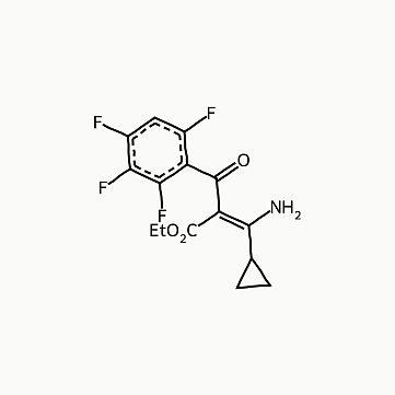 CCOC(=O)C(C(=O)c1c(F)cc(F)c(F)c1F)=C(N)C1CC1